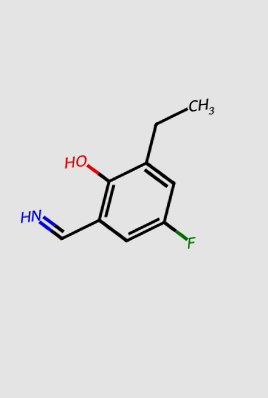 CCc1cc(F)cc(C=N)c1O